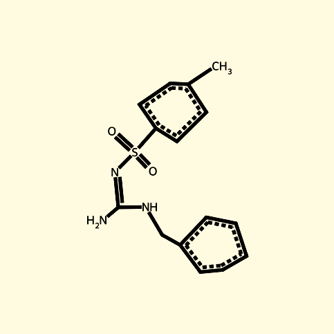 Cc1ccc(S(=O)(=O)N=C(N)NCc2ccccc2)cc1